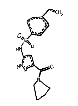 C=Cc1ccc(S(=O)(=O)Nc2cc(C(=O)N3CCCC3)n[nH]2)cc1